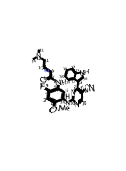 COc1cc(F)c(NC(=O)/C=C/CN(C)C)cc1Nc1ncc(C#N)c(-c2c[nH]c3ccccc23)n1